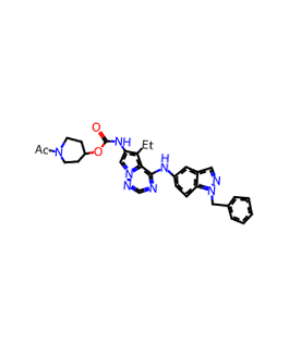 CCc1c(NC(=O)OC2CCN(C(C)=O)CC2)cn2ncnc(Nc3ccc4c(cnn4Cc4ccccc4)c3)c12